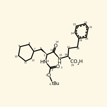 CC(C)(C)OC(=O)N[C@@H](CC1CCCCC1)C(=O)N[C@@H](CCc1ccccc1)C(=O)O